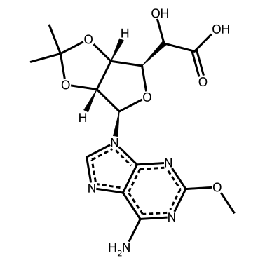 COc1nc(N)c2ncn([C@@H]3O[C@H](C(O)C(=O)O)[C@H]4OC(C)(C)O[C@H]43)c2n1